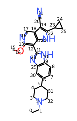 CCN1CCC(c2ccc3[nH]c(-c4c(OC)ncc5c(C#N)c(C6CC6)[nH]c45)nc3c2)CC1